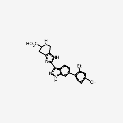 CCc1cc(O)ccc1-c1ccc2c(-c3nc4c([nH]3)CNC(C(=O)O)C4)n[nH]c2c1